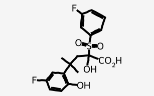 CC(C)(CC(O)(C(=O)O)S(=O)(=O)c1cccc(F)c1)c1cc(F)ccc1O